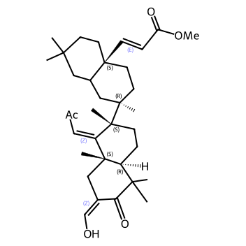 COC(=O)/C=C/[C@]12CCC(C)(C)CC1C[C@](C)([C@]1(C)CC[C@H]3C(C)(C)C(=O)/C(=C\O)C[C@]3(C)/C1=C/C(C)=O)CC2